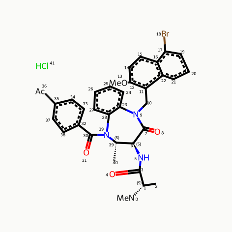 CN[C@@H](C)C(=O)N[C@@H]1C(=O)N(Cc2c(OC)ccc3c(Br)cccc23)c2ccccc2N(C(=O)c2ccc(C(C)=O)cc2)[C@H]1C.Cl